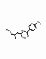 CN/C(=C\C(C)=C/OC)NC(=O)c1cnc(N)nc1